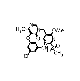 COc1nc(S(C)(=O)=O)ncc1Cn1cnc(C)c(Oc2cc(Cl)cc(C#N)c2)c1=O